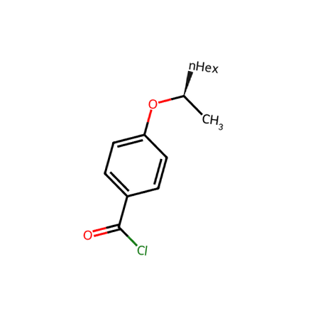 CCCCCC[C@@H](C)Oc1ccc(C(=O)Cl)cc1